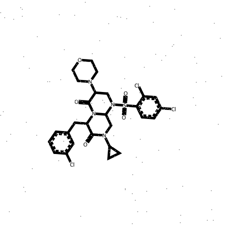 O=C1C(Cc2cccc(Cl)c2)N2C(=O)C(N3CCOCC3)CN(S(=O)(=O)c3ccc(Cl)cc3Cl)C2CN1C1CC1